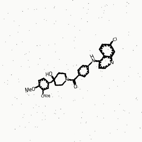 COc1ccc(C2(O)CCN(C(=O)c3ccc(Nc4ccnc5cc(Cl)ccc45)cc3)CC2)cc1OC